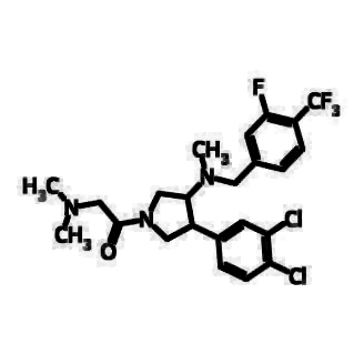 CN(C)CC(=O)N1CC(c2ccc(Cl)c(Cl)c2)C(N(C)Cc2ccc(C(F)(F)F)c(F)c2)C1